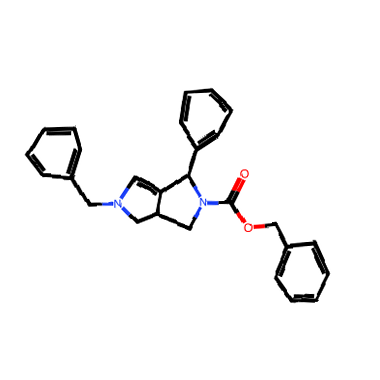 O=C(OCc1ccccc1)N1CC2CN(Cc3ccccc3)C=C2C1c1ccccc1